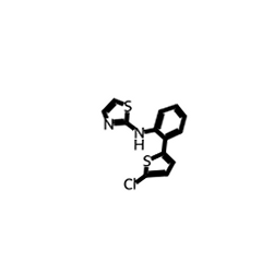 Clc1ccc(-c2ccccc2Nc2nccs2)s1